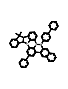 CC1(C)c2ccccc2C2C1c1cccc3c1N2c1cc(-c2ccccc2)cc2c1B3N(c1ccc(-c3ccccc3)cc1)c1cc3ccccc3cc1-2